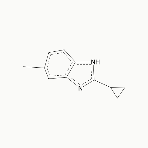 Cc1ccc2[nH]c(C3CC3)nc2c1